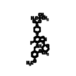 COc1ccc(CNc2c(F)cc(N3CCN(C(=O)OC(C)(C)C)CC3)c3cnn(C4CCCCO4)c23)c(OC)c1